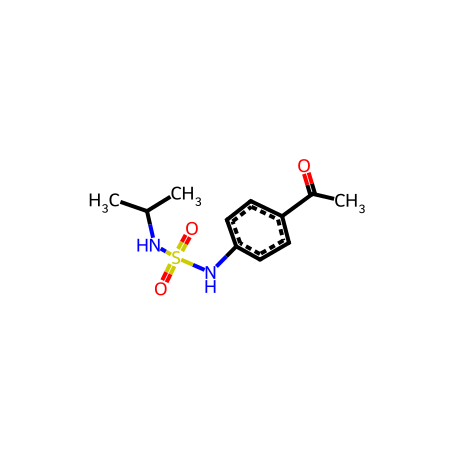 CC(=O)c1ccc(NS(=O)(=O)NC(C)C)cc1